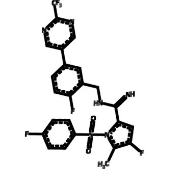 Cc1c(F)cc(C(=N)NCc2cc(-c3cnc(C(F)(F)F)nc3)ccc2F)n1S(=O)(=O)c1ccc(F)cc1